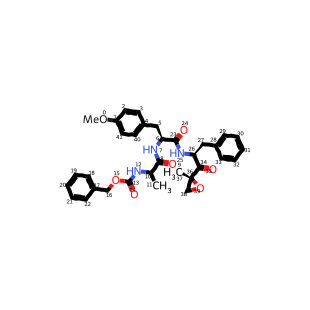 COc1ccc(C[C@H](NC(=O)C(C)NC(=O)OCc2ccccc2)C(=O)N[C@@H](Cc2ccccc2)C(=O)[C@@]2(C)CO2)cc1